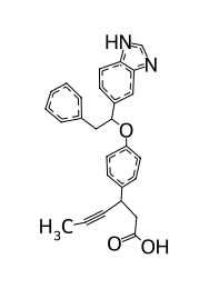 CC#CC(CC(=O)O)c1ccc(OC(Cc2ccccc2)c2ccc3[nH]cnc3c2)cc1